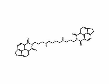 O=C1c2ccc3c4c(ccc(c24)C(=O)N1CCCNCCCCNCCCN1C(=O)c2ccc4c5c(ccc(c25)C1=O)CC4)CC3